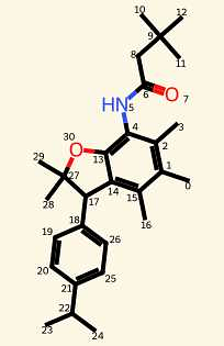 Cc1c(C)c(NC(=O)CC(C)(C)C)c2c(c1C)C(c1ccc(C(C)C)cc1)C(C)(C)O2